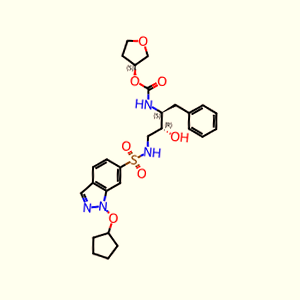 O=C(N[C@@H](Cc1ccccc1)[C@H](O)CNS(=O)(=O)c1ccc2cnn(OC3CCCC3)c2c1)O[C@H]1CCOC1